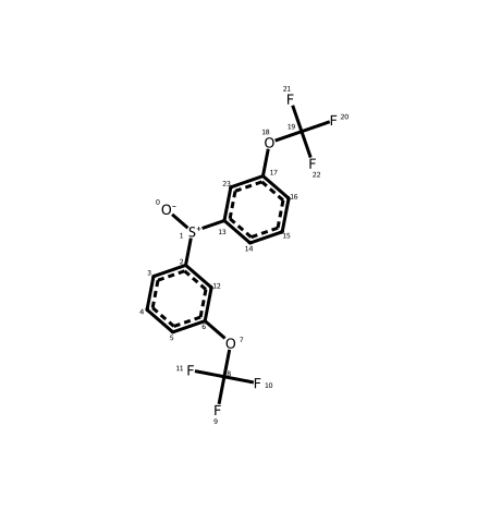 [O-][S+](c1cccc(OC(F)(F)F)c1)c1cccc(OC(F)(F)F)c1